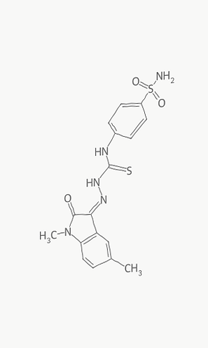 Cc1ccc2c(c1)C(=NNC(=S)Nc1ccc(S(N)(=O)=O)cc1)C(=O)N2C